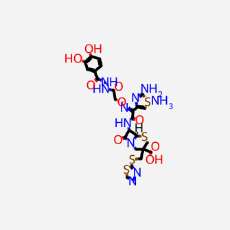 N.Nc1nc(C(=NOCC(=O)NNC(=O)c2ccc(O)c(O)c2)C(=O)NC2C(=O)N3CC(CSc4nncs4)(C(=O)O)CS[C@H]23)cs1